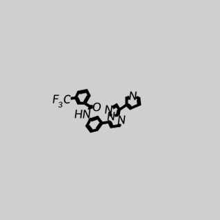 O=C(Nc1cccc(-c2ccnc3c(-c4cccnc4)cnn23)c1)c1cccc(C(F)(F)F)c1